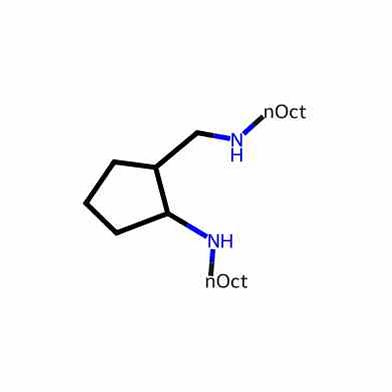 CCCCCCCCNCC1CCCC1NCCCCCCCC